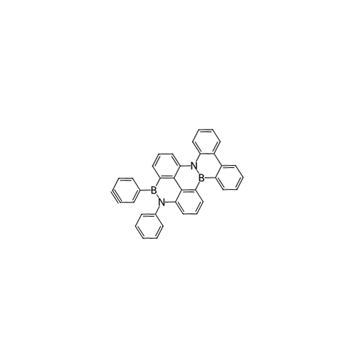 c1ccc(B2c3cccc4c3-c3c(cccc3N2c2ccccc2)B2c3ccccc3-c3ccccc3N24)cc#1